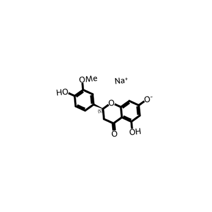 COc1cc([C@@H]2CC(=O)c3c(O)cc([O-])cc3O2)ccc1O.[Na+]